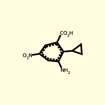 Nc1cc([N+](=O)[O-])cc(C(=O)O)c1C1CC1